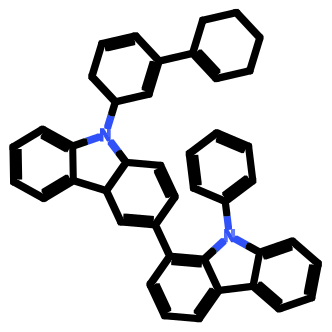 C1=CC(C2=CCCCC2)=CC(N2c3ccccc3C3C=C(c4cccc5c6ccccc6n(-c6ccccc6)c45)C=CC32)C1